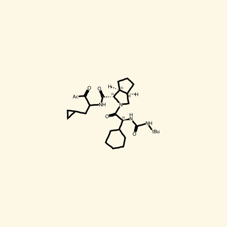 CC(=O)C(=O)C(CC1CC1)NC(=O)[C@@H]1[C@H]2CCC[C@H]2CN1C(=O)[C@@H](NC(=O)NC(C)(C)C)C1CCCCC1